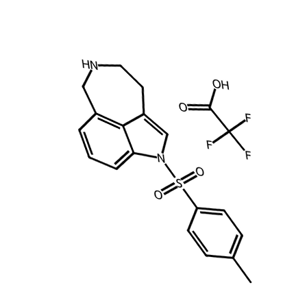 Cc1ccc(S(=O)(=O)n2cc3c4c(cccc42)CNCC3)cc1.O=C(O)C(F)(F)F